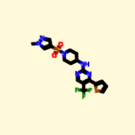 Cn1cc(S(=O)(=O)N2CCC(Nc3ncc(C(F)(F)F)c(-c4cccs4)n3)CC2)cn1